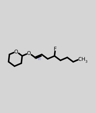 CCCCC(F)C/C=[C]/OC1CCCCO1